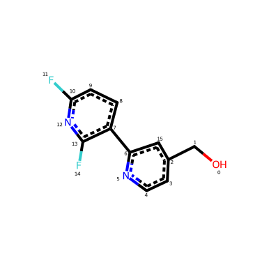 OCc1ccnc(-c2ccc(F)nc2F)c1